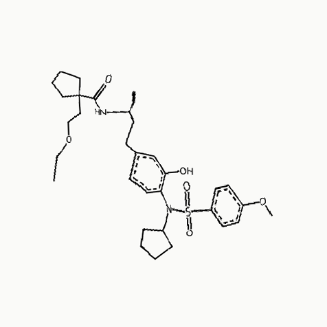 CCOCCC1(C(=O)N[C@@H](C)CCc2ccc(N(C3CCCC3)S(=O)(=O)c3ccc(OC)cc3)c(O)c2)CCCC1